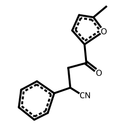 Cc1ccc(C(=O)CC(C#N)c2ccccc2)o1